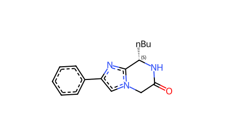 CCCC[C@@H]1NC(=O)Cn2cc(-c3ccccc3)nc21